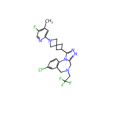 Cc1cc(N2CC3(CC(c4nnc5n4-c4ccc(Cl)cc4CN(CC(F)(F)F)C5)C3)C2)ncc1F